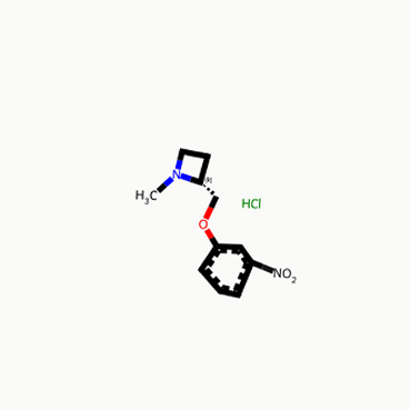 CN1CC[C@@H]1COc1cccc([N+](=O)[O-])c1.Cl